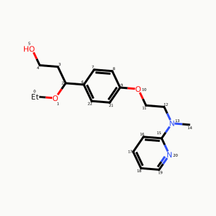 CCOC(CCO)c1ccc(OCCN(C)c2ccccn2)cc1